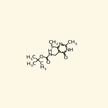 CSc1nc(C)[nH]c(=O)c1CNC(=O)OC(C)(C)C